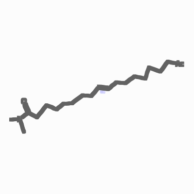 CC(=O)CCCCCCC/C=C/CCCCCCCC(=O)N(C)C